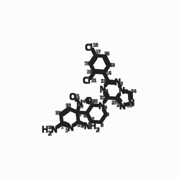 NC1=NC(N)C(C2CCCN(c3nc(-c4ccc(Cl)cc4Cl)nn4cnnc34)C2)([N+](=O)[O-])C=C1